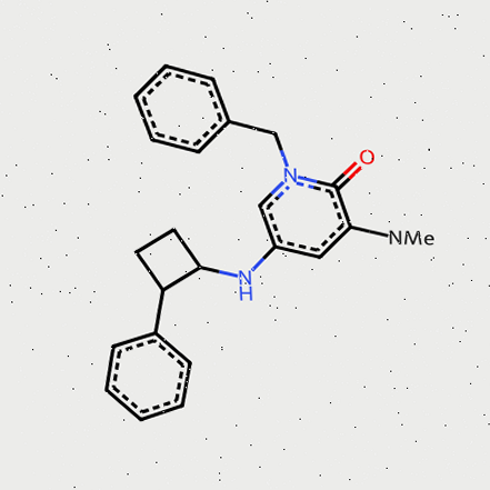 CNc1cc(NC2CCC2c2ccccc2)cn(Cc2ccccc2)c1=O